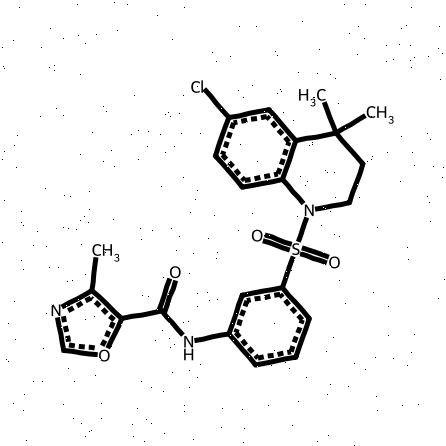 Cc1ncoc1C(=O)Nc1cccc(S(=O)(=O)N2CCC(C)(C)c3cc(Cl)ccc32)c1